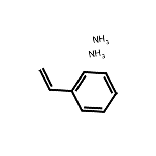 C=Cc1ccccc1.N.N